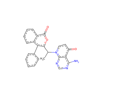 CC(c1oc(=O)c2ccccc2c1-c1ccccc1)n1ccc(=O)c2c(N)ncnc21